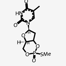 CSP1(=O)OC[C@H]2O[C@@H](n3cc(C)c(=O)[nH]c3=O)CC2O1